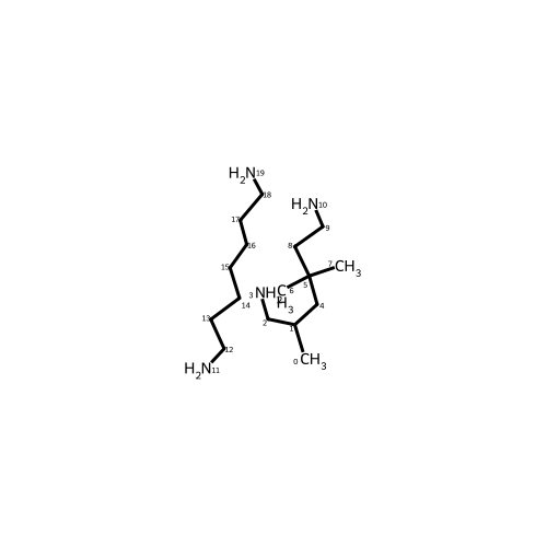 CC(CN)CC(C)(C)CCN.NCCCCCCCN